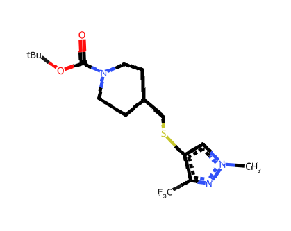 Cn1cc(SCC2CCN(C(=O)OC(C)(C)C)CC2)c(C(F)(F)F)n1